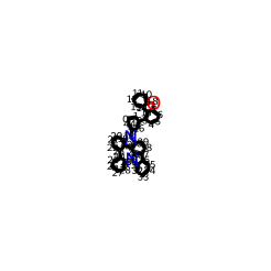 c1cc(-c2cccc3oc4ccccc4c23)cc(-n2c3cccc4c5ccccc5n5c6ccccc6c6ccc2c(c43)c65)c1